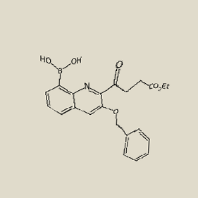 CCOC(=O)CCC(=O)c1nc2c(B(O)O)cccc2cc1OCc1ccccc1